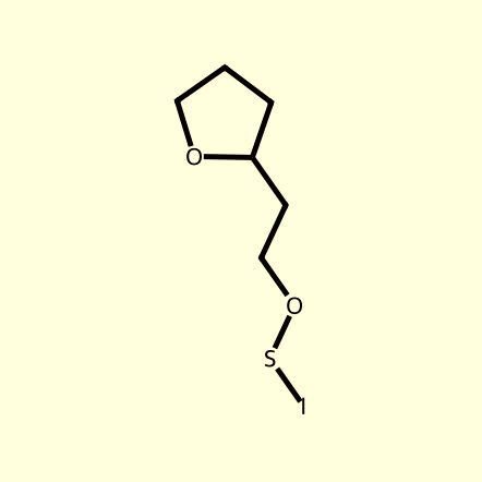 ISOCCC1CCCO1